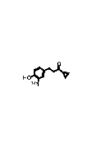 O=C(CCc1ccc(O)c([125I])c1)C1CC1